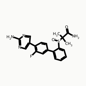 CC(C)(C(N)=O)[S+]([O-])c1ccccc1-c1ccc(-c2cnc(N)nc2)c(F)c1